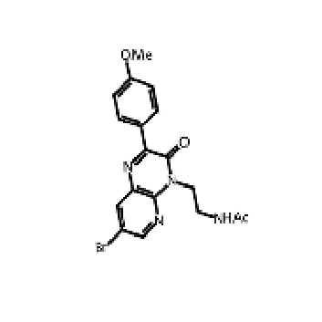 COc1ccc(-c2nc3cc(Br)cnc3n(CCNC(C)=O)c2=O)cc1